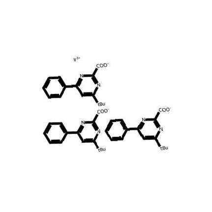 CC(C)(C)c1cc(-c2ccccc2)nc(C(=O)[O-])n1.CC(C)(C)c1cc(-c2ccccc2)nc(C(=O)[O-])n1.CC(C)(C)c1cc(-c2ccccc2)nc(C(=O)[O-])n1.[Ir+3]